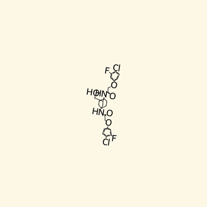 O=C(COc1ccc(Cl)c(F)c1)NC12CCC(NC(=O)COc3ccc(Cl)c(F)c3)(CC1)C(CO)C2